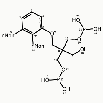 CCCCCCCCCc1cccc(OCC(CO)(COP(O)O)COP(O)O)c1CCCCCCCCC